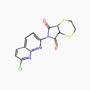 O=C1C2SCCSC2C(=O)N1c1ccc2ccc(Cl)nc2n1